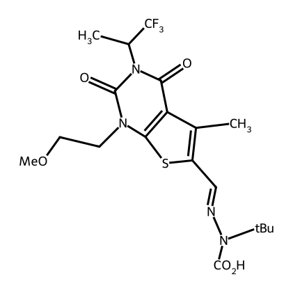 COCCn1c(=O)n(C(C)C(F)(F)F)c(=O)c2c(C)c(C=NN(C(=O)O)C(C)(C)C)sc21